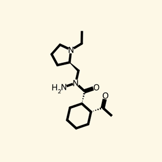 CCN1CCC[C@@H]1CN(N)C(=O)[C@H]1CCCC[C@H]1C(C)=O